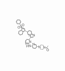 CC(=O)N1CCN(c2ccc(Nc3nccc(-c4cnc5ccc(-c6cn(S(=O)(=O)c7ccccc7)c7ccccc67)cn45)n3)nc2)CC1